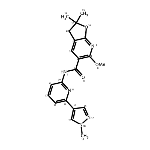 COc1nc2c(cc1C(=O)Nc1cccc(-c3cnn(C)c3)n1)CC(C)(C)O2